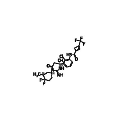 C[C@H]1C[C@@H](N2C(=N)N[C@](C)(c3cccc(NC(=O)C45CC(C(F)(F)F)(C4)C5)c3Cl)CC2=O)CCC1(F)F